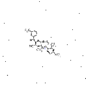 Cc1c(C#N)c(Nc2cccc(C(F)(F)F)c2)nc(N)c1/N=N/c1ccc([N+](=O)[O-])cc1C(F)(F)F